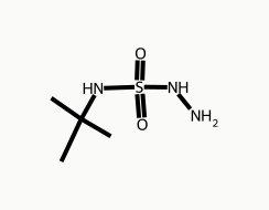 CC(C)(C)NS(=O)(=O)NN